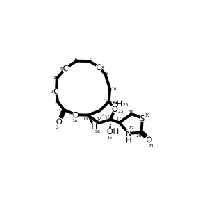 O=C1CCCCCCCCC[C@@H]2C[C@H](C[C@](O)(C3CSC(=O)N3)O2)O1